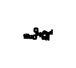 CC(C)(C)OC(=O)n1cnc(I)c1